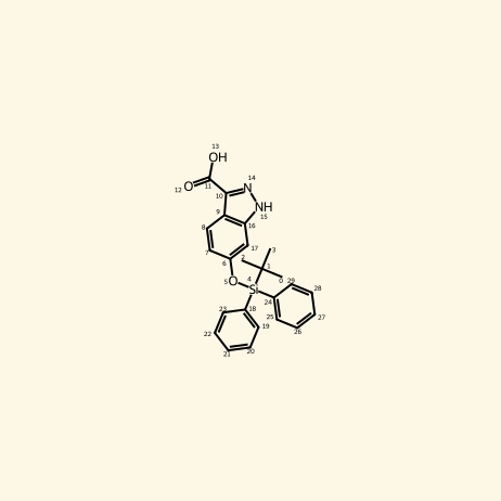 CC(C)(C)[Si](Oc1ccc2c(C(=O)O)n[nH]c2c1)(c1ccccc1)c1ccccc1